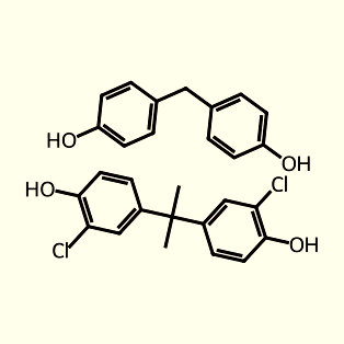 CC(C)(c1ccc(O)c(Cl)c1)c1ccc(O)c(Cl)c1.Oc1ccc(Cc2ccc(O)cc2)cc1